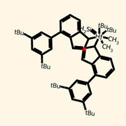 CC(C)(C)c1cc(-c2cccc3c2C=C[CH]3[Hf]([CH3])([CH3])(=[SiH2])([CH]2C=Cc3c(-c4cc(C(C)(C)C)cc(C(C)(C)C)c4)cccc32)([C](C)(C)C)[C](C)(C)C)cc(C(C)(C)C)c1